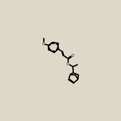 COc1ccc(/C=C/C(=O)OC(C)C2CC3C=CC2C3)cc1